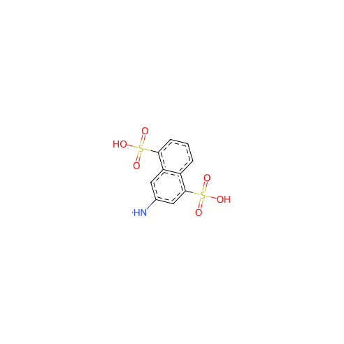 [NH]c1cc(S(=O)(=O)O)c2cccc(S(=O)(=O)O)c2c1